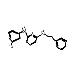 Clc1cccc(Nc2nccc(NCCc3ccccc3)n2)c1